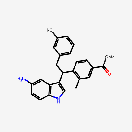 COC(=O)c1ccc(C(Cc2cccc(C#N)c2)c2c[nH]c3ccc(N)cc23)c(C)c1